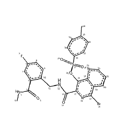 CNC(=O)c1cc(F)ccc1CNC(=O)c1nc(Br)c2cccnc2c1OS(=O)(=O)c1ccc(C)cc1